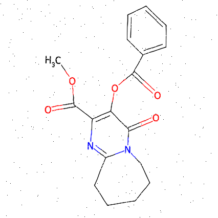 COC(=O)c1nc2n(c(=O)c1OC(=O)c1ccccc1)CCCCC2